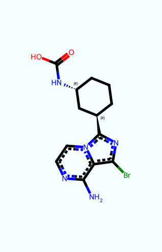 Nc1nccn2c([C@@H]3CCC[C@@H](NC(=O)O)C3)nc(Br)c12